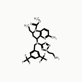 CCC1CC(N(Cc2cc(C(F)(F)F)cc(C(F)(F)F)c2)c2nnn(CCN)n2)c2nc(C)ccc2N1C(=O)OC